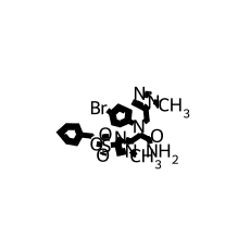 Cn1cncc1CN(c1ccc(Br)cc1)C(C(N)=O)c1nc(S(=O)(=O)OCc2ccccc2)cn1C